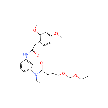 CCOCOCCCC(=O)N(CC)c1cccc(NC(=O)Cc2ccc(OC)cc2OC)c1